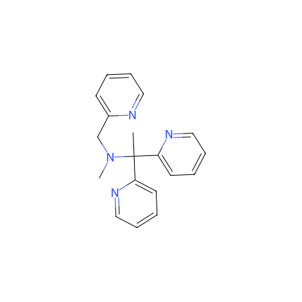 CN(Cc1ccccn1)C(C)(c1ccccn1)c1ccccn1